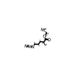 C[C@@H](CCCN=[N+]=[N-])C(=O)OCC#N